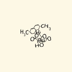 CC[C@H](C)C(=O)O[C@H]1C[C@@H](C)C=C2C=C[C@H](C)[C@H](CCC3CC(O)CC(=O)O3)[C@H]21